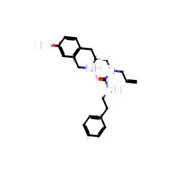 C=CCN(C[C@@H]1Cc2ccc(O)cc2CN1)C(=O)NCCc1ccccc1